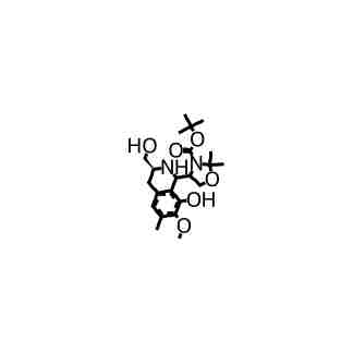 COc1c(C)cc2c(c1O)C(C1COC(C)(C)N1C(=O)OC(C)(C)C)N[C@H](CO)C2